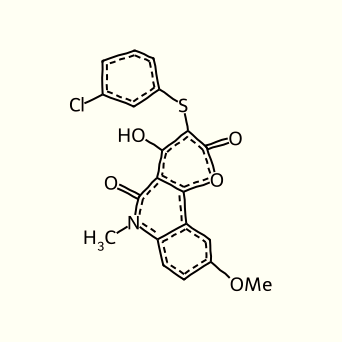 COc1ccc2c(c1)c1oc(=O)c(Sc3cccc(Cl)c3)c(O)c1c(=O)n2C